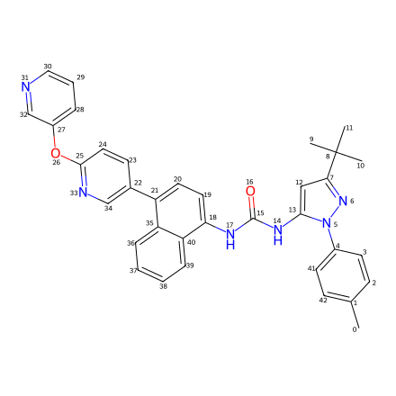 Cc1ccc(-n2nc(C(C)(C)C)cc2NC(=O)Nc2ccc(-c3ccc(Oc4cccnc4)nc3)c3ccccc23)cc1